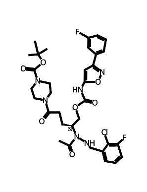 CC(=O)N(NCc1cccc(F)c1Cl)[C@@H](CCC(=O)N1CCN(C(=O)OC(C)(C)C)CC1)COC(=O)Nc1cc(-c2cccc(F)c2)no1